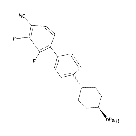 CCCCC[C@H]1CC[C@H](c2ccc(-c3ccc(C#N)c(F)c3F)cc2)CC1